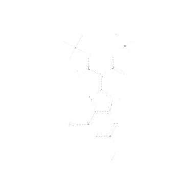 COc1cc(Br)c2nc(N(C(=O)OC(C)(C)C)C(=O)OC(C)(C)C)sc2c1